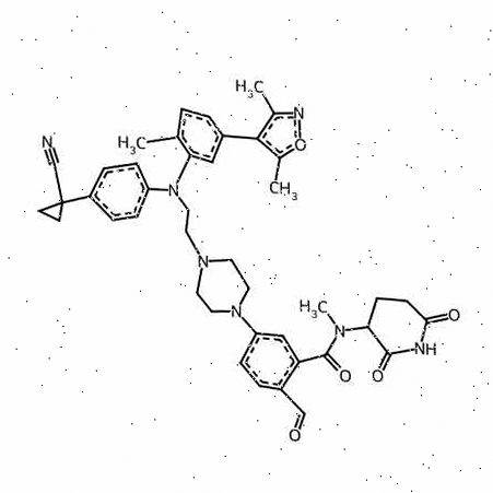 Cc1ccc(-c2c(C)noc2C)cc1N(CCN1CCN(c2ccc(C=O)c(C(=O)N(C)C3CCC(=O)NC3=O)c2)CC1)c1ccc(C2(C#N)CC2)cc1